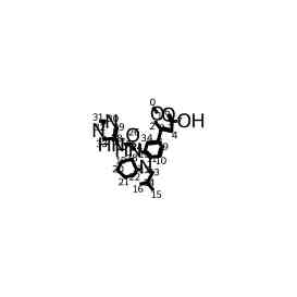 COCC(=CC(=O)O)c1ccc(N(CC(C)C)C2CCCCC2)c(NC(=O)Nc2cncnc2)c1